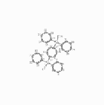 F[Si](c1ccccc1)(c1ccccc1)c1ccc([Si](F)(c2ccccc2)c2ccccc2)cc1